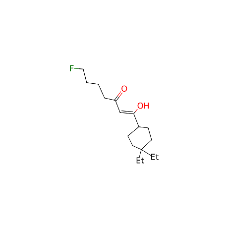 CCC1(CC)CCC(/C(O)=C/C(=O)CCCCF)CC1